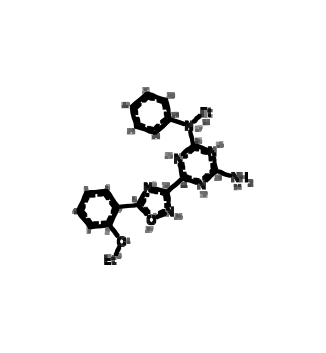 CCOc1ccccc1-c1nc(-c2nc(N)nc(N(CC)c3ccccc3)n2)no1